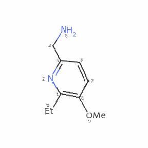 CCc1nc(CN)ccc1OC